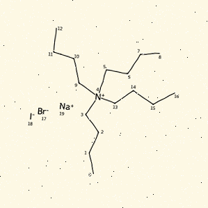 CCCC[N+](CCCC)(CCCC)CCCC.[Br-].[I-].[Na+]